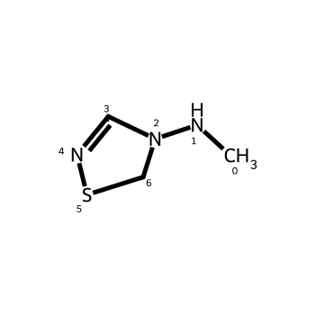 CNN1[C]=NSC1